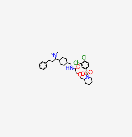 CN(C)C(CCc1ccccc1)C1CCC(CNC(=O)COCC2CCCCN2S(=O)(=O)c2ccc(Cl)c(Cl)c2)CC1